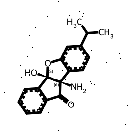 CC(C)c1ccc2c(c1)O[C@@]1(O)c3ccccc3C(=O)[C@@]21N